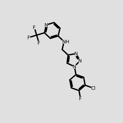 Fc1ccc(-n2cc(CNc3ccnc(C(F)(F)F)c3)nn2)cc1Cl